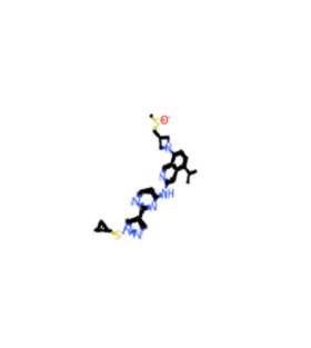 CC(C)c1ccc(N2CC(C[S+](C)[O-])C2)c2cnc(Nc3ccnc(-c4cnn(SC5CC5)c4)n3)cc12